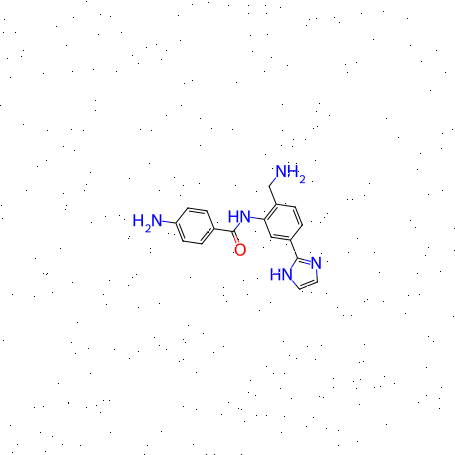 NCc1ccc(-c2ncc[nH]2)cc1NC(=O)c1ccc(N)cc1